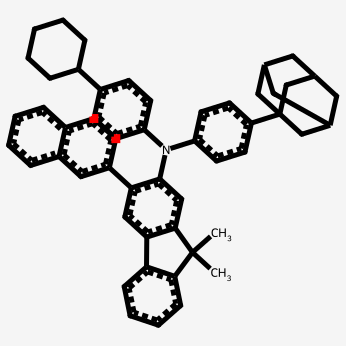 CC1(C)c2ccccc2-c2cc(-c3ccc4ccccc4c3)c(N(c3ccc(C4CCCCC4)cc3)c3ccc(C45CC6CC(CC(C6)C4)C5)cc3)cc21